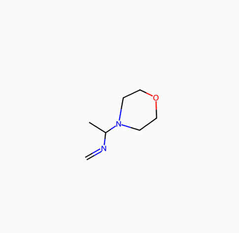 C=NC(C)N1CCOCC1